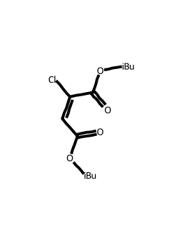 CCC(C)OC(=O)/C=C(/Cl)C(=O)OC(C)CC